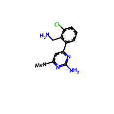 CNc1cc(-c2cccc(Cl)c2CN)nc(N)n1